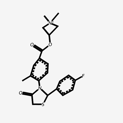 Cc1cc(C(=O)OC2C[N+](C)(C)C2)ccc1N1C(=O)CSC1c1ccc(F)cc1